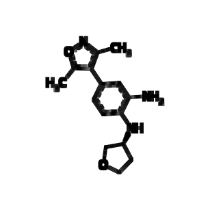 Cc1noc(C)c1-c1ccc(N[C@H]2CCOC2)c(N)c1